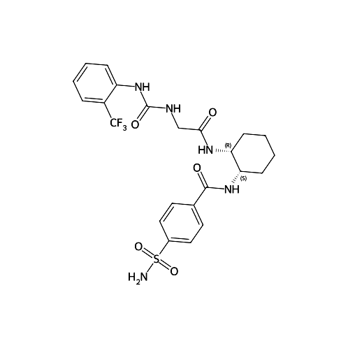 NS(=O)(=O)c1ccc(C(=O)N[C@H]2CCCC[C@H]2NC(=O)CNC(=O)Nc2ccccc2C(F)(F)F)cc1